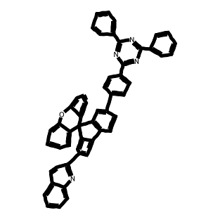 c1ccc(-c2nc(-c3ccccc3)nc(-c3ccc(-c4ccc5c(c4)C4(c6ccccc6Oc6ccccc64)c4cc(-c6ccc7ccccc7n6)ccc4-5)cc3)n2)cc1